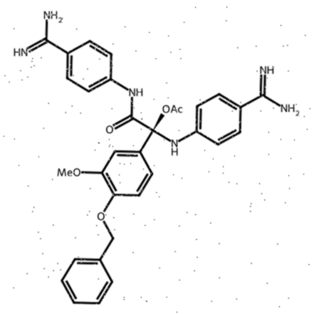 COc1cc([C@](Nc2ccc(C(=N)N)cc2)(OC(C)=O)C(=O)Nc2ccc(C(=N)N)cc2)ccc1OCc1ccccc1